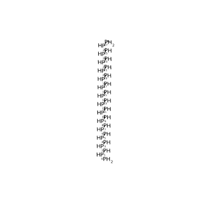 PPPPPPPPPPPPPPPPPPPPPPPPPPPPP